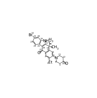 CCc1cc2c(cc1N1CCC(=O)CC1)C(C)(C)c1[nH]c3cc(Br)ccc3c1C2=O